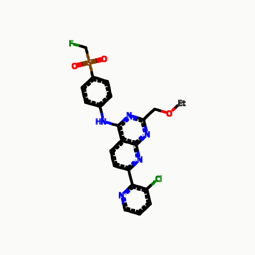 CCOCc1nc(Nc2ccc(S(=O)(=O)CF)cc2)c2ccc(-c3ncccc3Cl)nc2n1